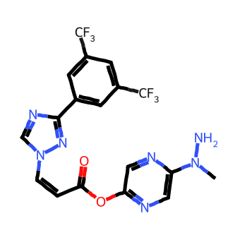 CN(N)c1cnc(OC(=O)/C=C\n2cnc(-c3cc(C(F)(F)F)cc(C(F)(F)F)c3)n2)cn1